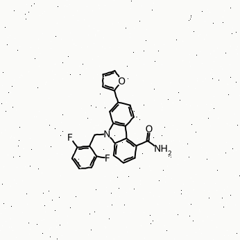 NC(=O)c1cccc2c1c1[c]cc(-c3ccco3)cc1n2Cc1c(F)cccc1F